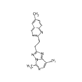 Cc1ccc2nc(CCc3nc4c(C)cnc(C)n4n3)ccc2c1